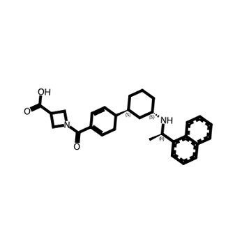 C[C@@H](N[C@H]1CCC[C@H](C2C=CC(C(=O)N3CC(C(=O)O)C3)=CC2)C1)c1cccc2ccccc12